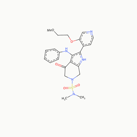 COCCOc1cnccc1-c1[nH]c2c(c1Nc1ccccc1)C(=O)CN(S(=O)(=O)N(C)C)C2